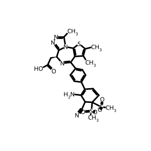 Cc1sc2c(c1C)C(c1ccc(C3=C(N)C(C#N)C(S(C)(=O)=O)(S(C)(=O)=O)C=C3)cc1)=N[C@@H](CC(=O)O)c1nnc(C)n1-2